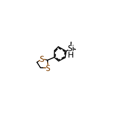 C[SiH](C)c1ccc(C2SCCS2)cc1